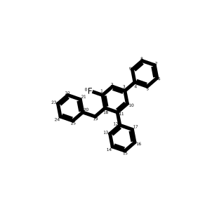 Fc1cc(-c2ccccc2)cc(-c2ccccc2)c1Cc1ccccc1